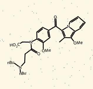 CCCCN(CCCC)CCC(=O)N(CC(=O)O)c1ccc(C(=O)c2c(C)c(OC)c3ccccn23)cc1OC